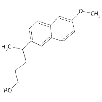 COc1ccc2cc(C(C)CCCO)ccc2c1